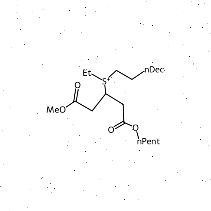 CCCCCCCCCCCC[S+](CC)C(CC(=O)OC)CC(=O)OCCCCC